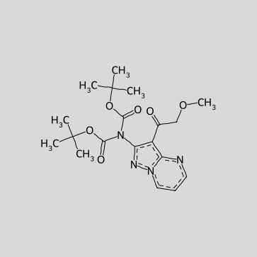 COCC(=O)c1c(N(C(=O)OC(C)(C)C)C(=O)OC(C)(C)C)nn2cccnc12